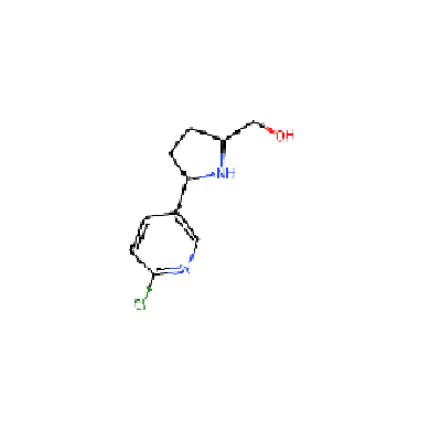 OCC1CCC(c2ccc(Cl)nc2)N1